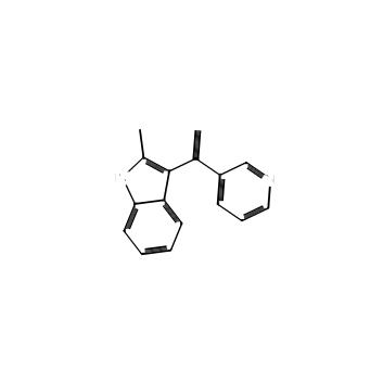 C=C(c1cccnc1)c1c(C)[nH]c2ccccc12